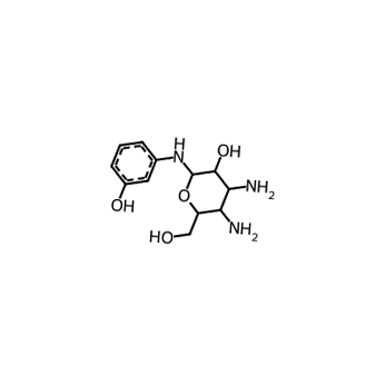 NC1C(CO)OC(Nc2cccc(O)c2)C(O)C1N